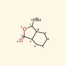 CCCCC1OC(=O)C2CCCCC12